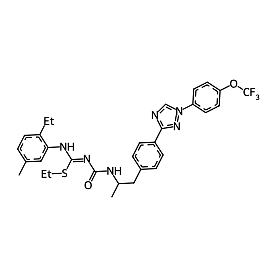 CCS/C(=N\C(=O)NC(C)Cc1ccc(-c2ncn(-c3ccc(OC(F)(F)F)cc3)n2)cc1)Nc1cc(C)ccc1CC